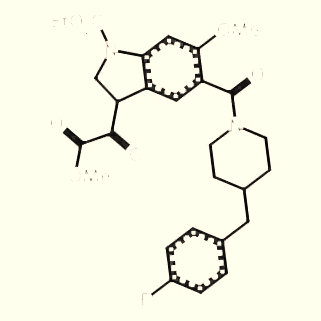 CCOC(=O)N1CC(C(=O)C(=O)OC)c2cc(C(=O)N3CCC(Cc4ccc(F)cc4)CC3)c(OC)cc21